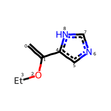 C=C(OCC)c1cnc[nH]1